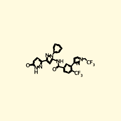 O=C(Nc1cc(-c2ccc(=O)[nH]n2)nn1-c1ccccc1)c1ccc(C(F)(F)F)c(-c2ccn(CC(F)(F)F)n2)c1